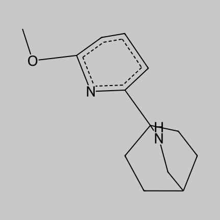 COc1cccc(C23CCC(CC2)CN3)n1